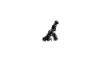 Cc1cc(C(=O)[C@@H](CN2CCC(N3CCCCC3)CC2)OC(=O)N2CCC(N3Cc4ccccc4NC3=O)CC2)cc2cn(COCC[Si](C)(C)C)nc12